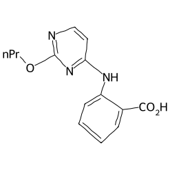 CCCOc1nccc(Nc2ccccc2C(=O)O)n1